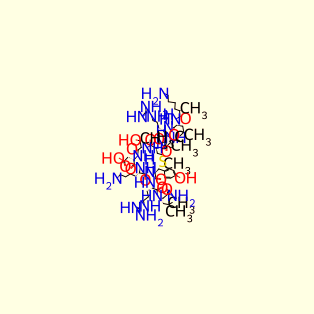 CSCC[C@H](NC(=O)[C@H](C)NC(=O)[C@H](CCCNC(=N)N)NC(=O)[C@H](CC(C)C)NC(=O)[C@@H](C)CCCCN)C(=O)N[C@H](C(=O)N[C@@H](CC(=O)O)C(=O)N[C@@H](CCCCN)C(=O)N[C@@H](Cc1ccc(O)cc1)C(=O)N[C@@H](CCCNC(=N)N)C(=O)N[C@@H](CC(C)C)C(N)=O)[C@@H](C)O